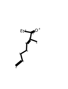 C=CCCC=C(C)C(=O)CC